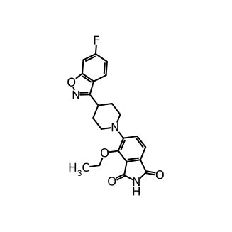 CCOc1c(N2CCC(c3noc4cc(F)ccc34)CC2)ccc2c1C(=O)NC2=O